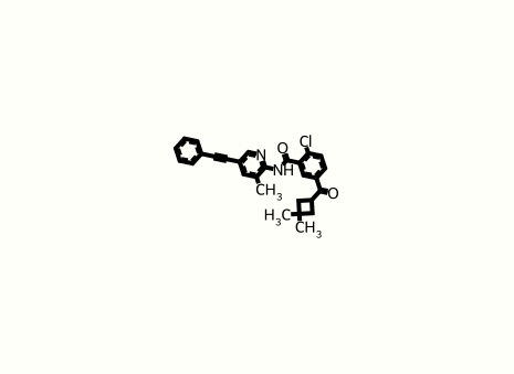 Cc1cc(C#Cc2ccccc2)cnc1NC(=O)c1cc(C(=O)C2CC(C)(C)C2)ccc1Cl